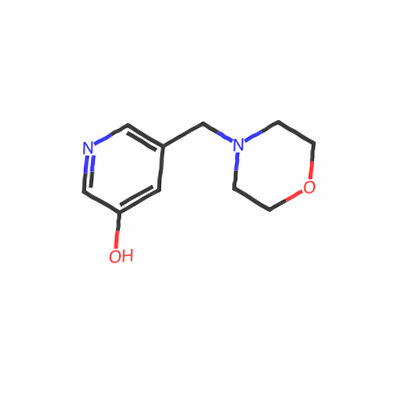 Oc1cncc(CN2CCOCC2)c1